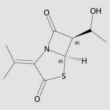 CC(C)=C1C(=O)S[C@@H]2[C@H](C(C)O)C(=O)N12